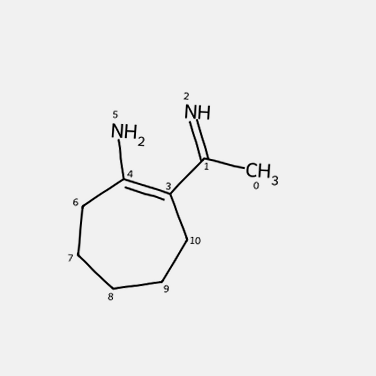 CC(=N)C1=C(N)CCCCC1